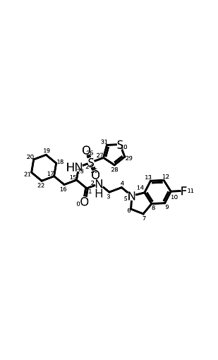 O=C(NCCN1CCc2cc(F)ccc21)C(CC1CCCCC1)NS(=O)(=O)c1ccsc1